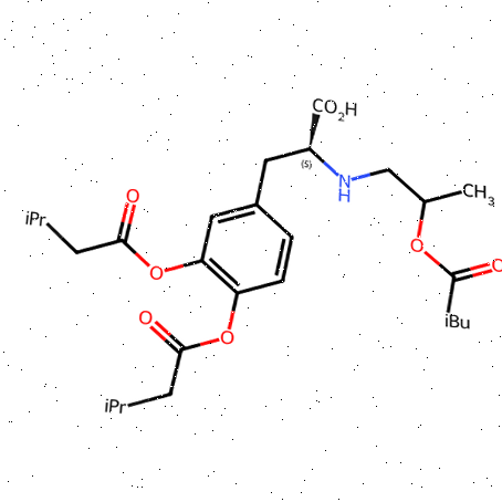 CCC(C)C(=O)OC(C)CN[C@@H](Cc1ccc(OC(=O)CC(C)C)c(OC(=O)CC(C)C)c1)C(=O)O